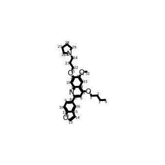 CCCCOc1cc(-c2ccc3occc3c2)nc2cc(OCCCN3CCCC3)c(OC)cc12